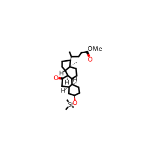 COC(=O)CCC(C)[C@H]1CC[C@H]2[C@@H]3C(=O)C[C@@H]4C[C@H](O[Si](C)(C)C)CC[C@]4(C)[C@H]3CC[C@]12C